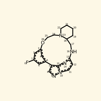 Fc1cc2cc(c1)-c1cnn3ccc(nc13)NCC1CCCCN1CCO2